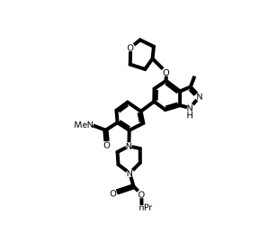 CCCOC(=O)N1CCN(c2cc(-c3cc(OC4CCOCC4)c4c(C)n[nH]c4c3)ccc2C(=O)NC)CC1